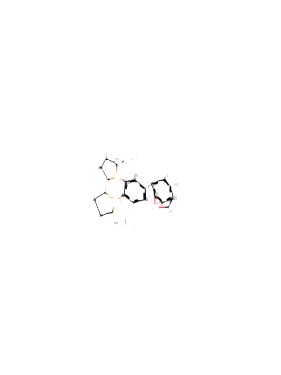 C[C@@H]1CCCP1c1ccccc1P1CCC[C@H]1C.c1cc2cc(c1)OC2